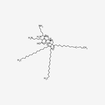 CCCCCCCCCCCCCCCC(=O)N(C(=O)CCCCCCCCCCCCCCC)C(CS)(C(=O)CCCCCCCCCCCCCCC)C(=O)NC(CO)C(=O)N(C(=O)C(N)CCCCN)C(CCCCN)C(=O)O